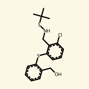 CC(C)(C)SNCc1c(Cl)cccc1Sc1ccccc1CO